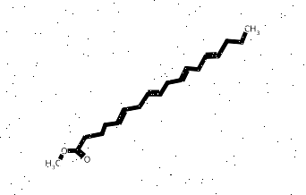 CCC/C=C/C/C=C/C/C=C/C/C=C/CCCC(=O)OC